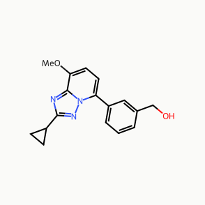 COc1ccc(-c2cccc(CO)c2)n2nc(C3CC3)nc12